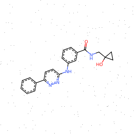 O=C(NCC1(O)CC1)c1cccc(Nc2ccc(-c3ccccc3)nn2)c1